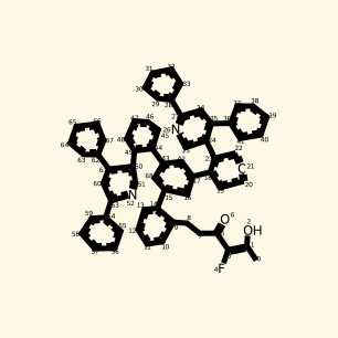 C/C(O)=C(\F)C(=O)CCc1ccccc1-c1cc(-c2ccccc2-c2cnc(-c3ccccc3)cc2-c2ccccc2)cc(-c2ccccc2-c2cnc(-c3ccccc3)cc2-c2ccccc2)c1